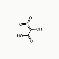 O=C(O)C(O)=S(=O)=O